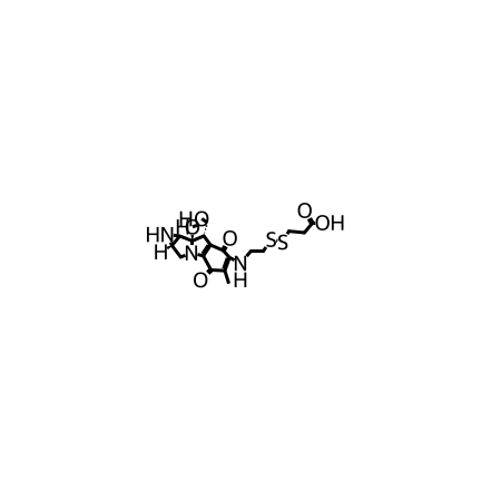 CO[C@@]12[C@H](CO)C3=C(C(=O)C(C)=C(NCCSSCCC(=O)O)C3=O)N1C[C@@H]1N[C@@H]12